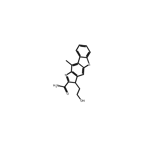 Cc1c2c(cc3sc4ccccc4c13)C(CCO)C(C(N)=O)=N2